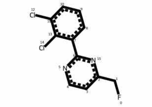 FCc1ccnc(-c2cccc(Cl)c2Cl)n1